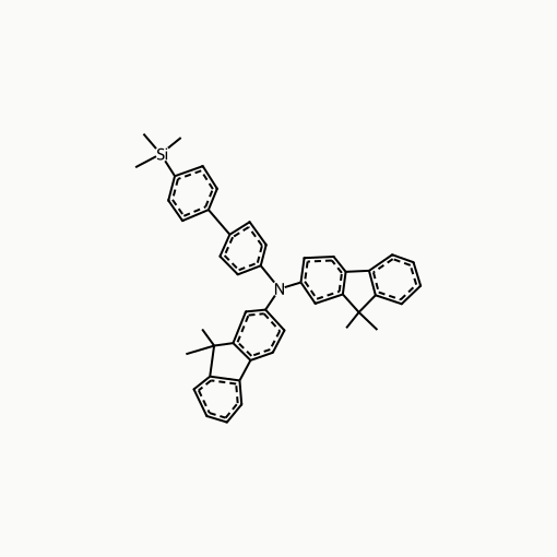 CC1(C)c2ccccc2-c2ccc(N(c3ccc(-c4ccc([Si](C)(C)C)cc4)cc3)c3ccc4c(c3)C(C)(C)c3ccccc3-4)cc21